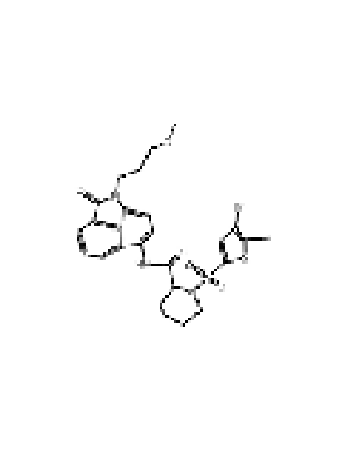 COCCCN1C(=O)c2cccc3c(NC(=O)C4CCCCN4S(=O)(=O)c4cc(Br)c(C)s4)ccc1c23